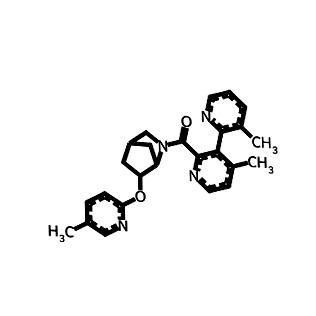 Cc1ccc(OC2CC3CC2N(C(=O)c2nccc(C)c2-c2ncccc2C)C3)nc1